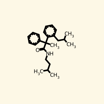 CC(C)CCNC(=O)C(C)(c1ccccc1)c1ccccc1CC(C)C